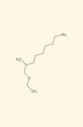 C[CH]OCC(C)CCCCCCC